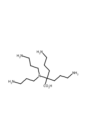 NCCCN(CCCN)C(CCCN)(CCCN)C(=O)O